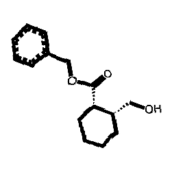 O=C(OCc1ccccc1)[C@H]1CCCC[C@H]1CO